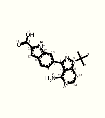 CC(C)(C)n1nc(-c2ccc3cc(C(=O)O)[nH]c3c2)c2c(N)ncnc21